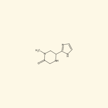 CN1CC(c2ncc[nH]2)NCC1=O